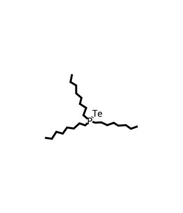 CCCCCCCCP(=[Te])(CCCCCCCC)CCCCCCCC